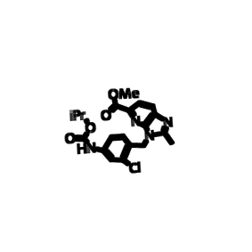 COC(=O)c1ccc2nc(C)n(Cc3ccc(NC(=O)OC(C)C)cc3Cl)c2n1